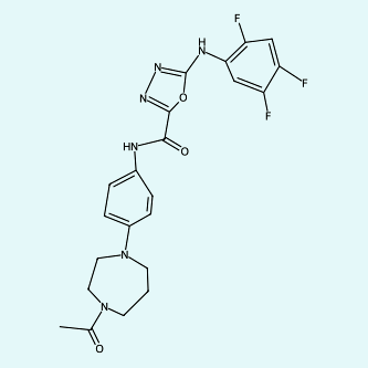 CC(=O)N1CCCN(c2ccc(NC(=O)c3nnc(Nc4cc(F)c(F)cc4F)o3)cc2)CC1